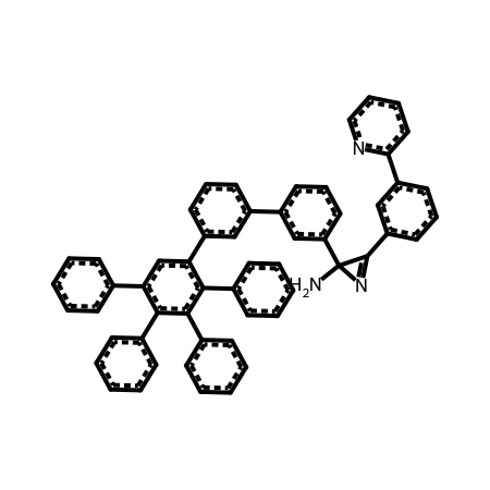 NC1(c2cccc(-c3cccc(-c4cc(-c5ccccc5)c(-c5ccccc5)c(-c5ccccc5)c4-c4ccccc4)c3)c2)N=C1c1cccc(-c2ccccn2)c1